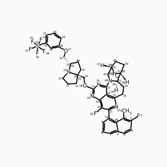 Cc1c(F)ccc2cccc(-c3nc4c5c(nc(OC[C@@]67CCCN6[C@H](COc6cccc(S(F)(F)(F)(F)F)c6)CC7)nc5c3F)N3C[C@@H]5CC[C@@H](N5)[C@H]3CC4)c12